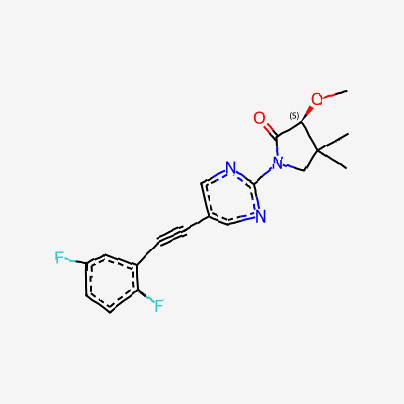 CO[C@@H]1C(=O)N(c2ncc(C#Cc3cc(F)ccc3F)cn2)CC1(C)C